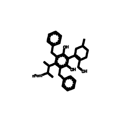 CCCCCC(C)C(C)c1c(Cc2ccccc2)c(O)c(C2=C(CO)CCC(C)C2)c(O)c1Cc1ccccc1